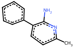 Cc1ccc(-c2ccccc2)c(N)n1